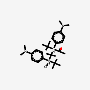 CN(C)c1ccc([PH](Cl)(C(C)(C)C)C(C)(C)[PH](c2ccc(N(C)C)cc2)(C(C)(C)C)C(C)(C)C)cc1